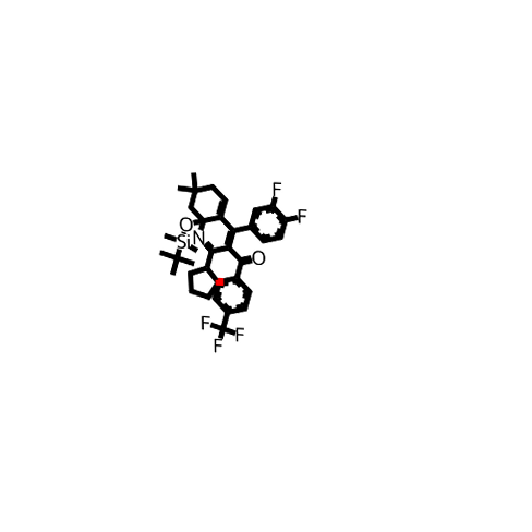 CC1(C)CC=C2C(c3ccc(F)c(F)c3)=C(C(=O)c3ccc(C(F)(F)F)cc3)C(C3CCCC3)=NC2(O[Si](C)(C)C(C)(C)C)C1